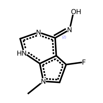 Cn1cc(F)c2/c(=N/O)nc[nH]c21